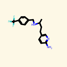 CC(CCc1ccc(N)nc1)NCc1ccc(C(F)(F)F)cc1